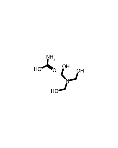 NC(=O)O.OCN(CO)CO